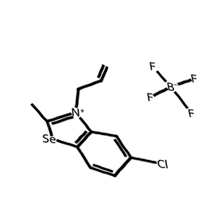 C=CC[n+]1c(C)[se]c2ccc(Cl)cc21.F[B-](F)(F)F